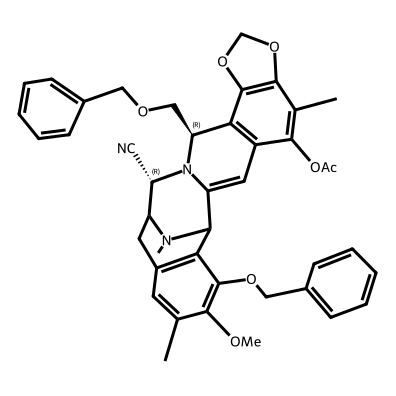 COc1c(C)cc2c(c1OCc1ccccc1)C1C3=Cc4c(OC(C)=O)c(C)c5c(c4[C@H](COCc4ccccc4)N3[C@@H](C#N)C(C2)N1C)OCO5